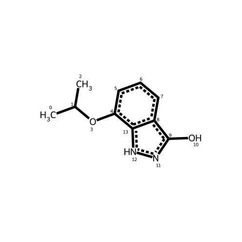 CC(C)Oc1cccc2c(O)n[nH]c12